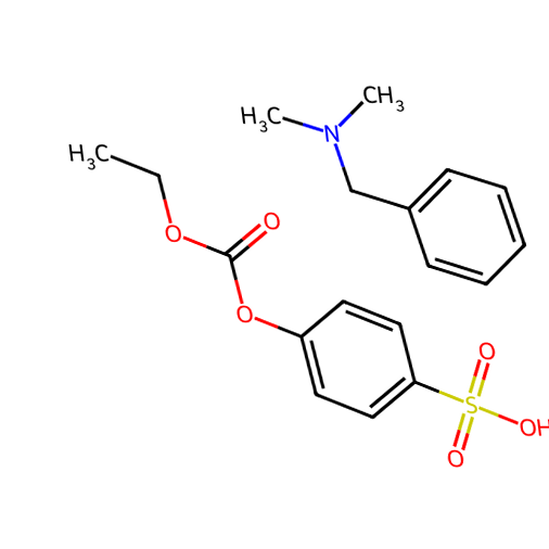 CCOC(=O)Oc1ccc(S(=O)(=O)O)cc1.CN(C)Cc1ccccc1